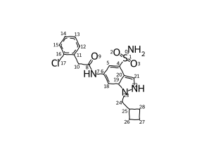 NS(=O)(=O)C1=CC(NC(=O)Cc2ccccc2Cl)=CC2C1=CNN2CC1CCC1